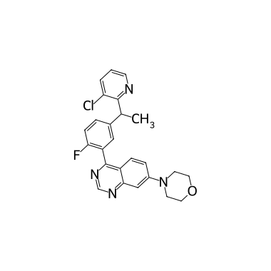 CC(c1ccc(F)c(-c2ncnc3cc(N4CCOCC4)ccc23)c1)c1ncccc1Cl